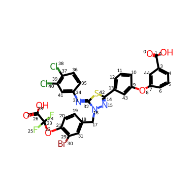 O=C(O)c1cccc(Oc2cccc(-c3nn(Cc4ccc(OC(F)(F)C(=O)O)c(Br)c4)c(=Nc4ccc(Cl)c(Cl)c4)s3)c2)c1